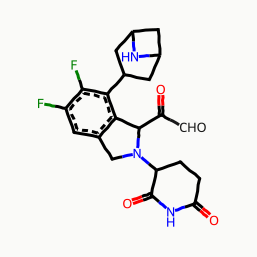 O=CC(=O)C1c2c(cc(F)c(F)c2C2CC3CC(C2)N3)CN1C1CCC(=O)NC1=O